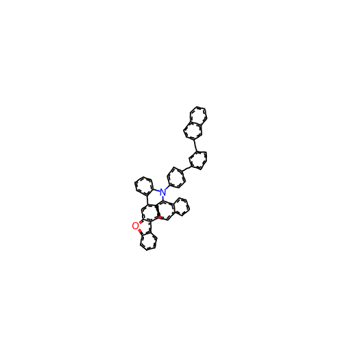 c1cc(-c2ccc(N(c3ccccc3-c3ccc4c(c3)oc3ccccc34)c3cccc4ccccc34)cc2)cc(-c2ccc3ccccc3c2)c1